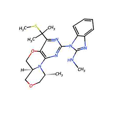 CNc1nc2ccccc2n1-c1nc2c(c(C(C)(C)SC)n1)OC[C@@H]1COC[C@@H](C)N21